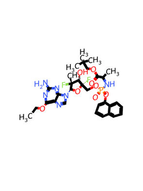 CCOc1nc(N)nc2c1ncn2[C@H]1O[C@](F)(COP(=O)(NC(C)C(=O)OCC(C)(C)C)Oc2cccc3ccccc23)[C@@H](O)[C@@]1(C)F